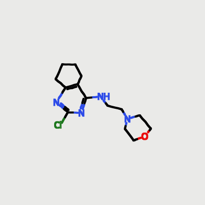 Clc1nc2c(c(NCCN3CCOCC3)n1)CCCC2